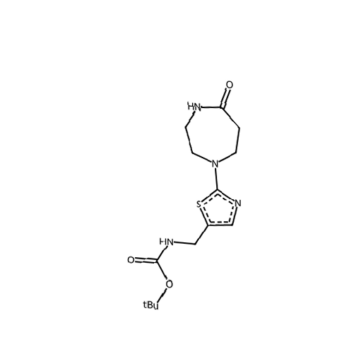 CC(C)(C)OC(=O)NCc1cnc(N2CCNC(=O)CC2)s1